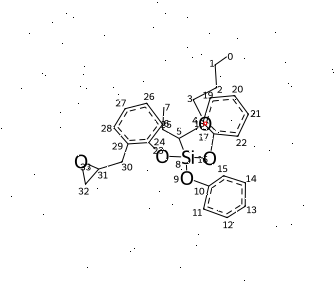 CCCCOC(CC)[Si](Oc1ccccc1)(Oc1ccccc1)Oc1ccccc1CC1CO1